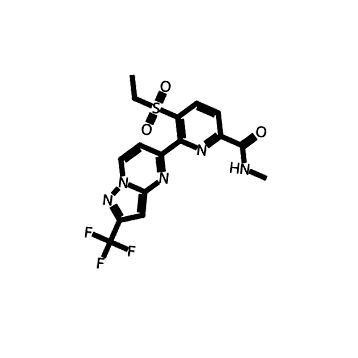 CCS(=O)(=O)c1ccc(C(=O)NC)nc1-c1ccn2nc(C(F)(F)F)cc2n1